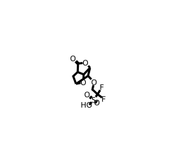 O=C1OC2C(OCC(F)(F)S(=O)(=O)O)C3CC1C2O3